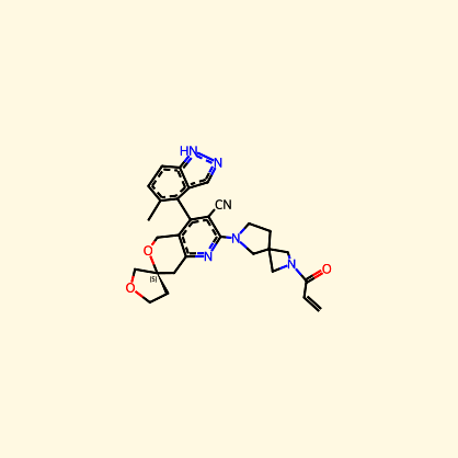 C=CC(=O)N1CC2(CCN(c3nc4c(c(-c5c(C)ccc6[nH]ncc56)c3C#N)CO[C@]3(CCOC3)C4)C2)C1